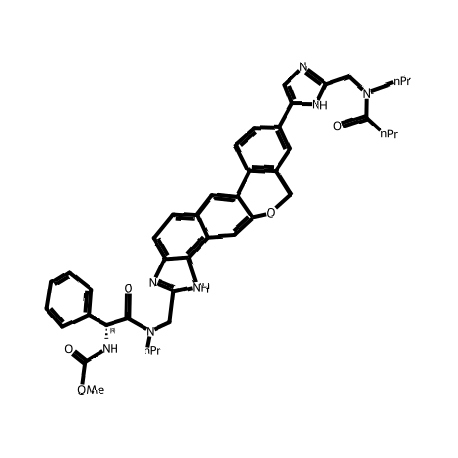 CCCC(=O)N(CCC)Cc1ncc(-c2ccc3c(c2)COc2cc4c(ccc5nc(CN(CCC)C(=O)[C@H](NC(=O)OC)c6ccccc6)[nH]c54)cc2-3)[nH]1